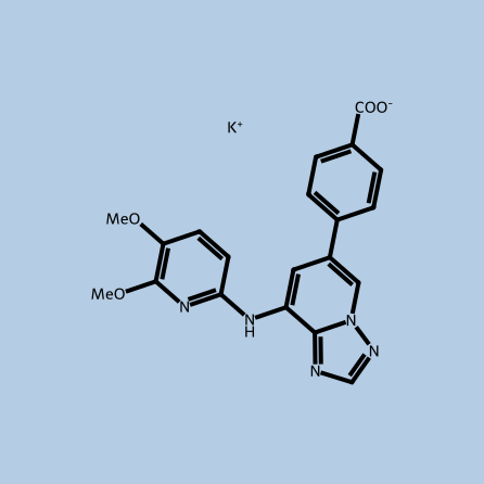 COc1ccc(Nc2cc(-c3ccc(C(=O)[O-])cc3)cn3ncnc23)nc1OC.[K+]